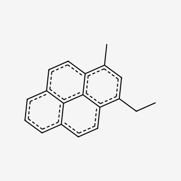 CCc1cc(C)c2ccc3cccc4ccc1c2c34